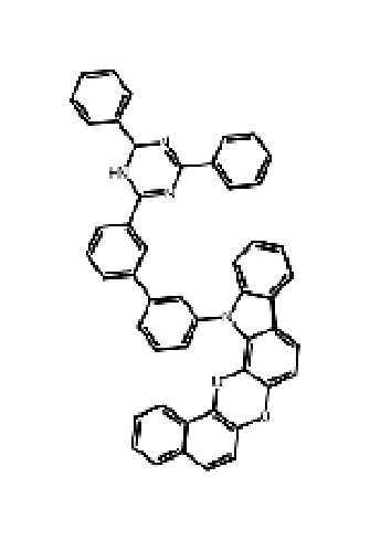 c1ccc(C2=NC(c3ccccc3)NC(c3cccc(-c4cccc(-n5c6ccccc6c6ccc7c(c65)Oc5c(ccc6ccccc56)O7)c4)c3)=N2)cc1